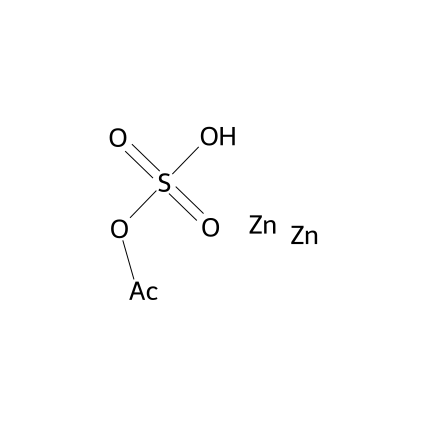 CC(=O)OS(=O)(=O)O.[Zn].[Zn]